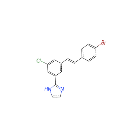 Clc1cc(/C=C/c2ccc(Br)cc2)cc(-c2ncc[nH]2)c1